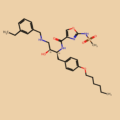 CCCCCCOc1ccc(C[C@H](NC(=O)c2coc(NS(C)(=O)=O)n2)[C@@H](O)CNCc2cccc(CC)c2)cc1